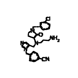 N#Cc1ccc(Cn2cncc2CN(CCCN)C2CCN(Cc3cccc(Cl)c3)C2=O)cc1